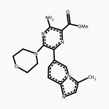 COC(=O)c1nc(-c2ccc3ncc(C)n3c2)c(N2CCOCC2)nc1N